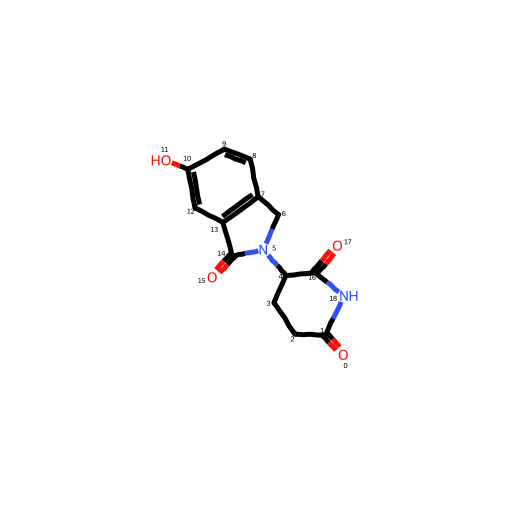 O=C1CCC(N2Cc3ccc(O)cc3C2=O)C(=O)N1